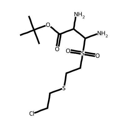 CC(C)(C)OC(=O)C(N)C(N)S(=O)(=O)CCSCCCl